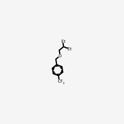 CCC(CC)COCc1ccc(C(F)(F)F)cc1